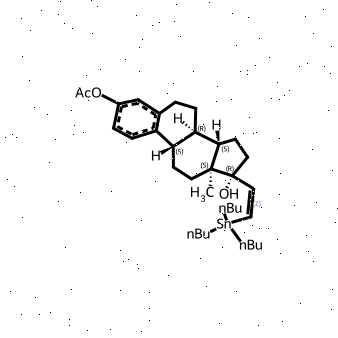 CCC[CH2][Sn](/[CH]=C\[C@]1(O)CC[C@H]2[C@@H]3CCc4cc(OC(C)=O)ccc4[C@H]3CC[C@@]21C)([CH2]CCC)[CH2]CCC